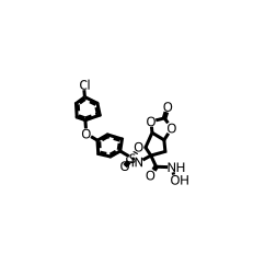 O=C1OC2CC(NS(=O)(=O)c3ccc(Oc4ccc(Cl)cc4)cc3)(C(=O)NO)CC2O1